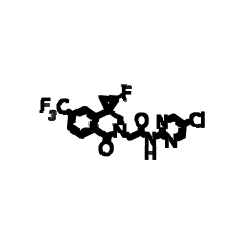 O=C(CN1C[C@]2(C[C@@H]2F)c2cc(C(F)(F)F)ccc2C1=O)Nc1ncc(Cl)cn1